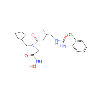 C[C@H](CNC(=O)Nc1ccccc1Cl)CC(=O)N(CC(=O)NO)CC1CCCC1